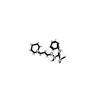 CN(C)C(=Nc1ccccc1)N(C)OCCCN1CCCCC1